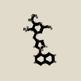 NNc1nc(N)cc(Cc2cnn(-c3cccc4ccccc34)c2)c1N